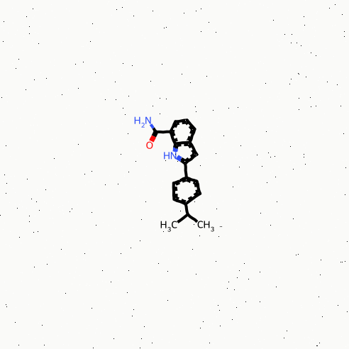 CC(C)c1ccc(-c2cc3cccc(C(N)=O)c3[nH]2)cc1